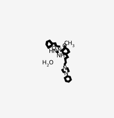 COc1ccc(CCCCN2CCN(C3CCCCC3)CC2)cc1N(Cc1cc2ccccc2o1)C(=N)N.O